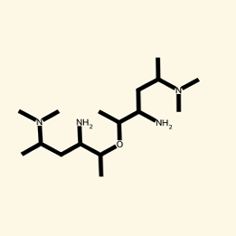 CC(OC(C)C(N)CC(C)N(C)C)C(N)CC(C)N(C)C